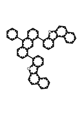 c1ccc(-c2c3cccc(-c4cccc5c4oc4ccc6ccccc6c45)c3cc3c(-c4cccc5c4oc4ccc6ccccc6c45)cccc23)cc1